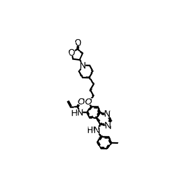 C=CC(=O)Nc1cc2c(Nc3cccc(C)c3)ncnc2cc1OCCCC1CCN(C2COC(=O)C2)CC1